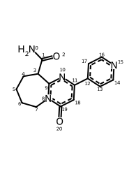 NC(=O)C1CCCCn2c1nc(-c1ccncc1)cc2=O